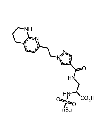 CCCCS(=O)(=O)NC(CNC(=O)c1cnn(CCc2ccc3c(n2)NCCC3)c1)C(=O)O